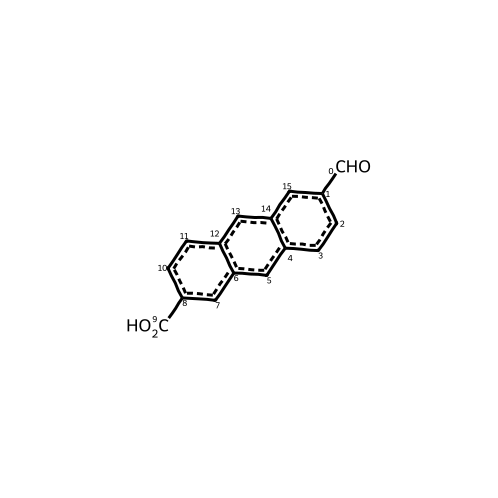 O=Cc1ccc2cc3cc(C(=O)O)ccc3cc2c1